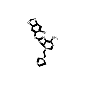 Nc1ncn(CCn2ccnc2)c2nc(Sc3cc4c(cc3Br)OCO4)nc1-2